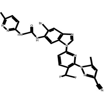 Cc1ccc(NC(=O)Nc2cc3c(cc2Br)ncn3-c2ccc(C(F)F)c(-n3nc(C#N)cc3C)n2)nn1